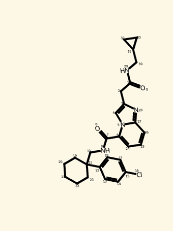 O=C(Cc1cn2c(C(=O)NCC3(c4ccc(Cl)cc4)CCCCC3)cccc2n1)NCC1CC1